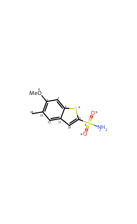 COc1cc2sc(S(N)(=O)=O)cc2cc1C